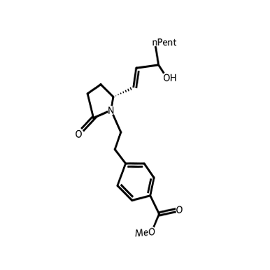 CCCCCC(O)/C=C/[C@H]1CCC(=O)N1CCc1ccc(C(=O)OC)cc1